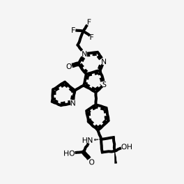 C[C@]1(O)C[C@](NC(=O)O)(c2ccc(-c3sc4ncn(CC(F)(F)F)c(=O)c4c3-c3ccccn3)cc2)C1